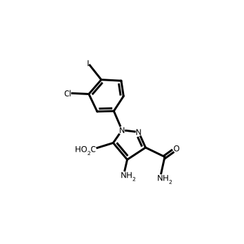 NC(=O)c1nn(-c2ccc(I)c(Cl)c2)c(C(=O)O)c1N